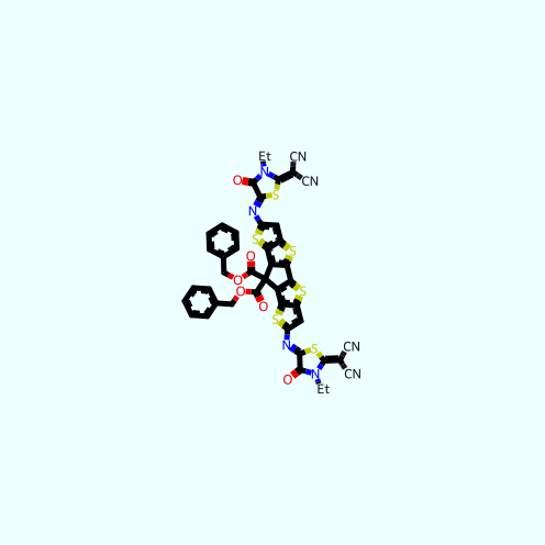 CCN1C(=O)/C(=N/c2cc3sc4c(c3s2)C(C(=O)OCc2ccccc2)(C(=O)OCc2ccccc2)c2c-4sc3cc(/N=C4\SC(=C(C#N)C#N)N(CC)C4=O)sc23)SC1=C(C#N)C#N